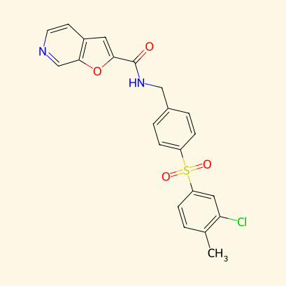 Cc1ccc(S(=O)(=O)c2ccc(CNC(=O)c3cc4ccncc4o3)cc2)cc1Cl